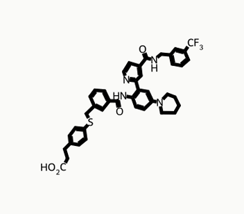 O=C(O)CCc1ccc(SCc2cccc(C(=O)Nc3ccc(N4CCCCC4)cc3-c3cc(C(=O)NCc4cccc(C(F)(F)F)c4)ccn3)c2)cc1